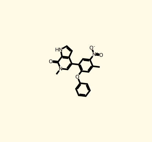 Cc1cc(Oc2ccccc2)c(-c2cn(C)c(=O)c3[nH]ccc23)cc1[N+](=O)[O-]